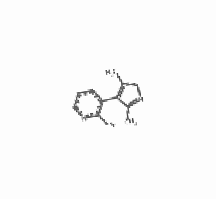 CC1=NCC(C)=C1c1cccnc1C(C)C